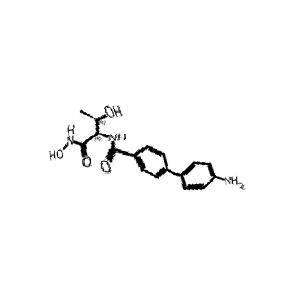 C[C@@H](O)[C@@H](NC(=O)c1ccc(-c2ccc(N)cc2)cc1)C(=O)NO